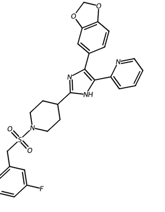 O=S(=O)(Cc1cc(F)cc(F)c1)N1CCC(c2nc(-c3ccc4c(c3)OCO4)c(-c3ccccn3)[nH]2)CC1